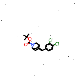 CC(C)(C)OC(=O)N1CC2CCC1C/C2=C/c1ccc(Cl)c(Cl)c1